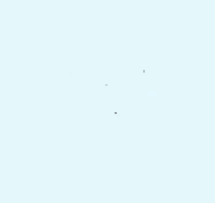 C/N=C(/N)c1nc(C(=O)NC)cn1F